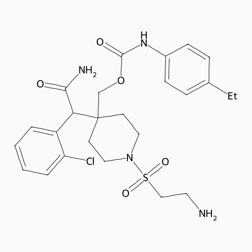 CCc1ccc(NC(=O)OCC2(C(C(N)=O)c3ccccc3Cl)CCN(S(=O)(=O)CCN)CC2)cc1